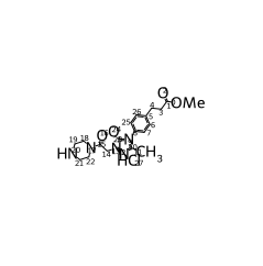 COC(=O)CCc1ccc(-n2c(C)nn(CC(=O)N3CCNCC3)c2=O)cc1.Cl